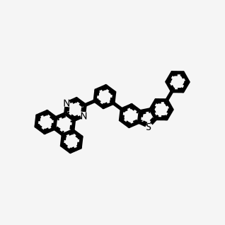 c1ccc(-c2ccc3sc4ccc(-c5cccc(-c6cnc7c8ccccc8c8ccccc8c7n6)c5)cc4c3c2)cc1